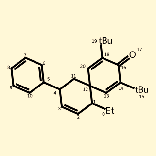 CCC1C=CC(c2ccccc2)CC12C=C(C(C)(C)C)C(=O)C(C(C)(C)C)=C2